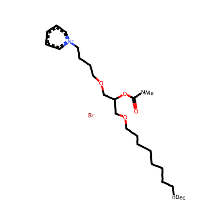 CCCCCCCCCCCCCCCCCCOCC(COCCCC[n+]1ccccc1)OC(=O)NC.[Br-]